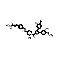 COc1ccc(-c2sc(C(=O)N3CCC(NCc4ccc(/C=C/C(=O)NO)cc4)CC3)cc2-c2ccc(C#N)c(F)c2)cc1O.Cl